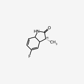 C[C@H]1C(=O)NC2C=CC(F)=CC21